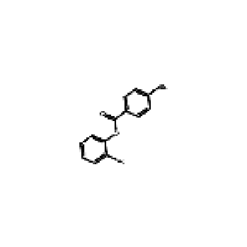 CCC(C)c1ccc(C(=O)Oc2ccccc2C(C)=O)cc1